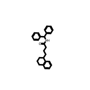 O=C(CCCC1CCCc2[c]cccc21)NC(c1ccccc1)c1ccccc1